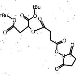 CC(C)(C)OC(=O)CC(OC(=O)CCC(=O)ON1C(=O)CCC1=O)C(=O)OC(C)(C)C